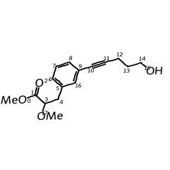 COC(=O)C(Cc1cccc(C#CCCCO)c1)OC